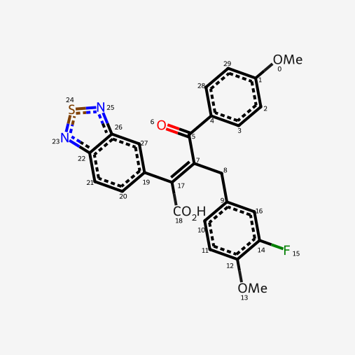 COc1ccc(C(=O)C(Cc2ccc(OC)c(F)c2)=C(C(=O)O)c2ccc3nsnc3c2)cc1